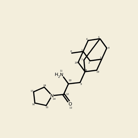 CC12CC3CC(C1)CC(CC(N)C(=O)N1CCCC1)(C3)C2